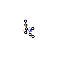 c1ccc(-c2ccc(-c3cc(C4=NC(c5ccc6oc7ccccc7c6c5)=NC(c5ccccc5)N4)c4c(c3)oc3ccccc34)cc2)cc1